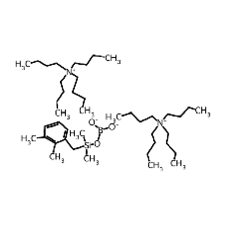 CCCC[N+](CCCC)(CCCC)CCCC.CCCC[N+](CCCC)(CCCC)CCCC.Cc1cccc(C[Si](C)(C)OB([O-])[O-])c1C